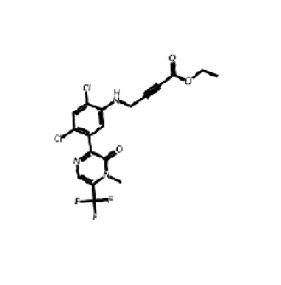 CCOC(=O)C#CCNc1cc(-c2ncc(C(F)(F)F)n(C)c2=O)c(Cl)cc1Cl